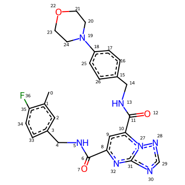 Cc1cc(CNC(=O)c2cc(C(=O)NCc3ccc(N4CCOCC4)cc3)n3ncnc3n2)ccc1F